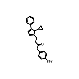 CCCc1ccc(CC(=O)CCC2=CC=C(c3ccccc3)C2C2CC2)cc1